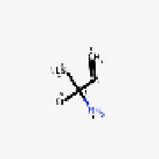 C=CC(N)([SiH3])CC